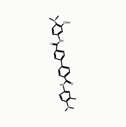 COc1cc(NC(=O)c2ccc(-c3ccc(C(=O)Nc4ccc(N(C)C)c(F)c4)cc3)cc2)ccc1N(C)C